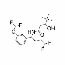 CC(C)(C)C(O)CC(=O)N[C@@H](CCC(F)F)c1cccc(OC(F)F)c1